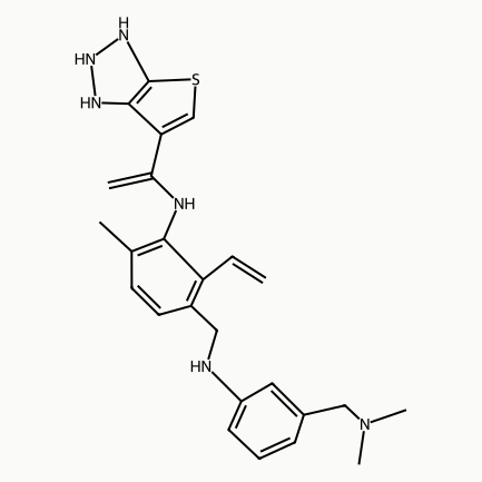 C=Cc1c(CNc2cccc(CN(C)C)c2)ccc(C)c1NC(=C)c1csc2c1NNN2